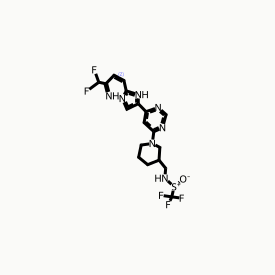 N=C(/C=C\c1ncc(-c2cc(N3CCCC(CN[S+]([O-])C(F)(F)F)C3)ncn2)[nH]1)C(F)F